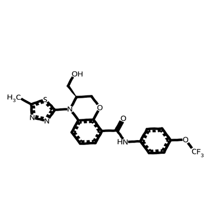 Cc1nnc(N2c3cccc(C(=O)Nc4ccc(OC(F)(F)F)cc4)c3OC[C@@H]2CO)s1